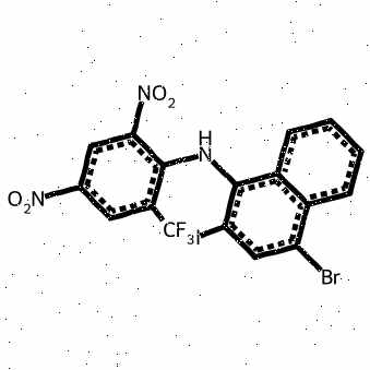 O=[N+]([O-])c1cc([N+](=O)[O-])c(Nc2c(I)cc(Br)c3ccccc23)c(C(F)(F)F)c1